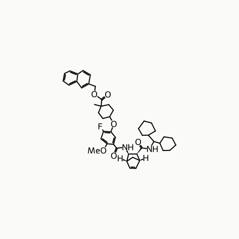 COc1cc(F)c(OC2CCC(C)(C(=O)OCc3ccc4ccccc4c3)CC2)cc1C(=O)N[C@H]1[C@@H](C(=O)NC(C2CCCCC2)C2CCCCC2)[C@@H]2C=C[C@H]1C2